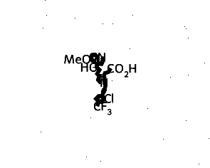 COc1ccc2nccc([C@@H](O)CCC3CCN(CC#Cc4ccc(C(F)(F)F)cc4Cl)CC3CCC(=O)O)c2c1